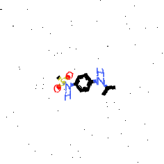 CC(C)Nc1ccc(NS(C)(=O)=O)cc1